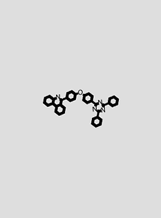 c1ccc(-c2nc(-c3ccccc3)nc(-c3ccc(Oc4ccc(-c5nc6ccccc6c6ccccc56)cc4)cc3)n2)cc1